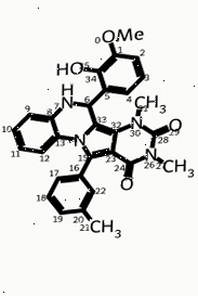 COc1cccc(C2Nc3ccccc3-n3c(-c4cccc(C)c4)c4c(=O)n(C)c(=O)n(C)c4c32)c1O